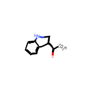 O=C(O)C(=O)C1CNc2ccccc21